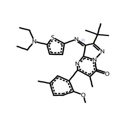 CCN(CC)c1ccc(/N=C2/C(C(C)(C)C)=Nn3c2nc(-c2cc(C)ccc2OC)c(C)c3=O)s1